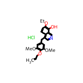 C=CCOc1c(OC)cc(Cc2cncc3c(O)c(OCC)ccc23)cc1OC.Cl